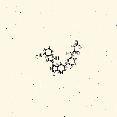 [C-]#[N+]c1cccc2[nH]c(-c3n[nH]c4ncc(-c5cncc(NC(=O)CC(C)C)c5)cc34)cc12